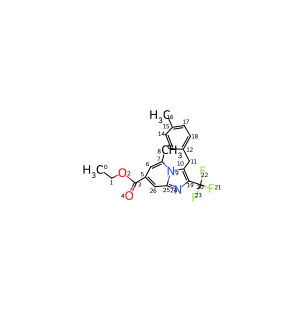 CCOC(=O)c1cc(C)n2c(Cc3ccc(C)cc3)c(C(F)(F)F)nc2c1